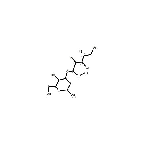 COC(OC1CC(C)OC(CO)C1O)C(O)C(O)[C@H](O)CO